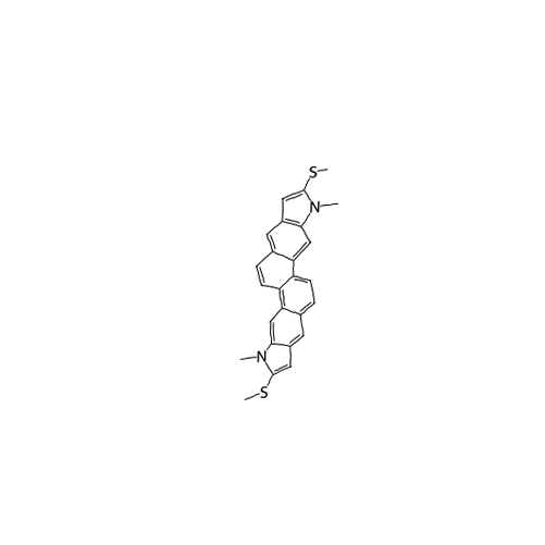 CSc1cc2cc3ccc4c5cc6c(cc(SC)n6C)cc5ccc4c3cc2n1C